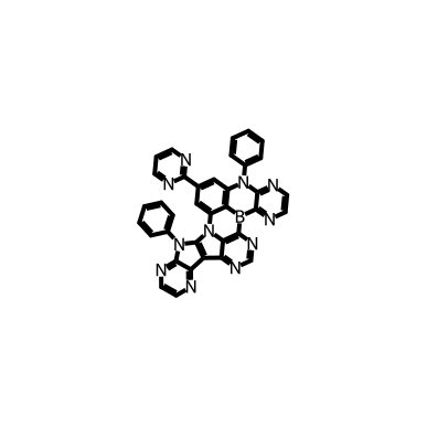 c1ccc(N2c3cc(-c4ncccn4)cc4c3B(c3nccnc32)c2ncnc3c5c6nccnc6n(-c6ccccc6)c5n-4c23)cc1